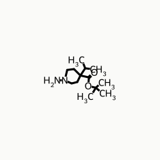 CC(C)C1(C(=O)OC(C)(C)C)CCN(N)CC1